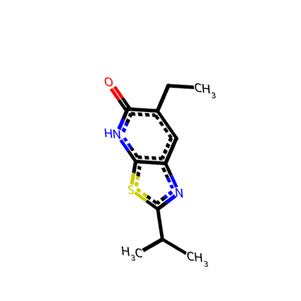 CCc1cc2nc(C(C)C)sc2[nH]c1=O